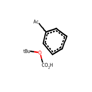 CC(=O)c1ccccc1.CC(C)(C)OC(=O)O